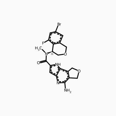 CN(C(=O)c1cc2nc(N)c3c(c2[nH]1)COC3)[C@@H]1COCc2cc(Br)cc(F)c21